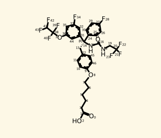 O=C(O)CCCCCOc1ccc(C[C@@](NC(=O)NCC(F)(F)F)(c2ccc(F)cc2)c2cc(F)cc(OC(F)(F)C(F)F)c2)cc1